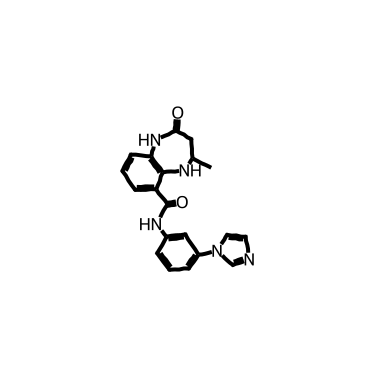 CC1CC(=O)Nc2cccc(C(=O)Nc3cccc(-n4ccnc4)c3)c2N1